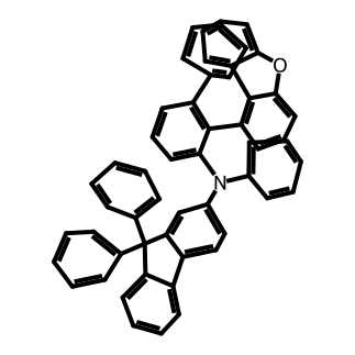 c1ccc(-c2cccc(N(c3ccccc3)c3ccc4c(c3)C(c3ccccc3)(c3ccccc3)c3ccccc3-4)c2-c2cccc3oc4ccccc4c23)cc1